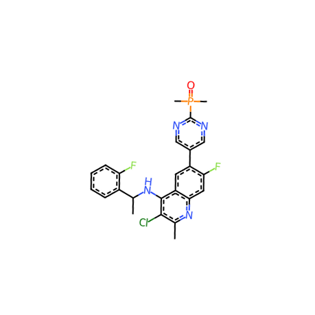 Cc1nc2cc(F)c(-c3cnc(P(C)(C)=O)nc3)cc2c(NC(C)c2ccccc2F)c1Cl